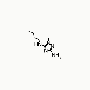 CCCCNc1nc(N)nn1C